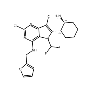 N[C@H]1CCCC[C@@H]1c1c(Cl)c2nc(Cl)nc(NCc3ccco3)c2n1C(F)F